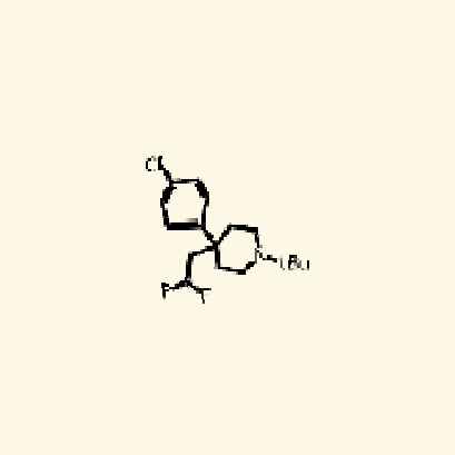 CC(C)(C)N1CCC(CC(F)F)(c2ccc(Cl)cc2)CC1